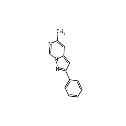 Cc1cc2cc(-c3ccccc3)nn2cn1